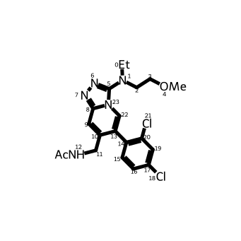 CCN(CCOC)c1nnc2cc(CNC(C)=O)c(-c3ccc(Cl)cc3Cl)cn12